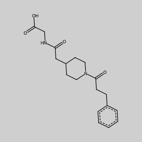 O=C(O)CNC(=O)CC1CCN(C(=O)CCc2ccccc2)CC1